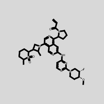 C=CC(=O)N1CCCC1c1ncc(N2CC(C3CCCC(C)S3(=O)=O)C2C)c2cnc(Nc3ccnc(N4CC[C@@H](OC)[C@@H](F)C4)n3)cc12